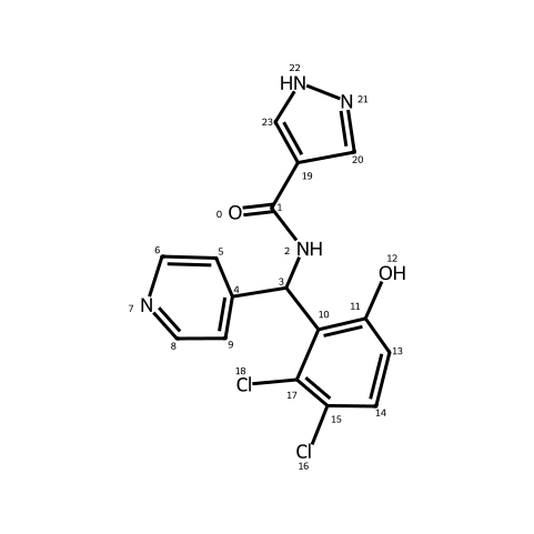 O=C(NC(c1ccncc1)c1c(O)ccc(Cl)c1Cl)c1cn[nH]c1